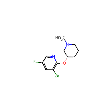 O=C(O)N1CCC[C@H](Oc2ncc(F)cc2Br)C1